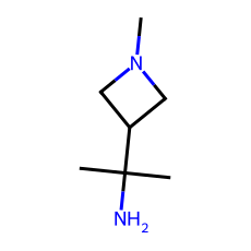 CN1CC(C(C)(C)N)C1